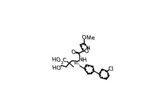 COc1cc(C(=O)N[C@H](Cc2ccc(-c3cccc(Cl)c3)cc2)CC(C)(CCO)C(=O)O)on1